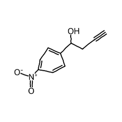 C#CCC(O)c1ccc([N+](=O)[O-])cc1